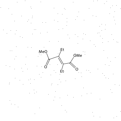 CCC(C(=O)OC)=C(CC)C(=O)OC